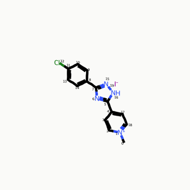 C[n+]1ccc(-c2nc(-c3ccc(Cl)cc3)n[nH]2)cc1.[I-]